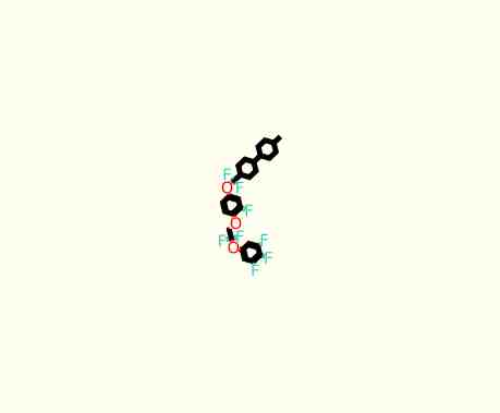 CC1CCC(C2CCC(C(F)(F)Oc3ccc(OCC(F)(F)Oc4cc(F)c(F)c(F)c4)c(F)c3)CC2)CC1